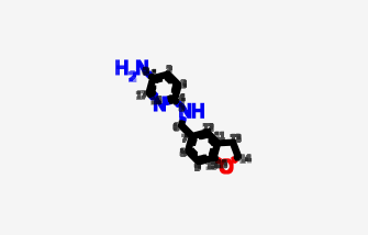 Nc1ccc(NCc2ccc3c(c2)CCO3)nc1